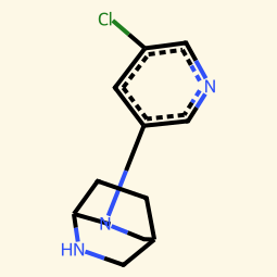 Clc1cncc(N2CC3CCC(C2)NC3)c1